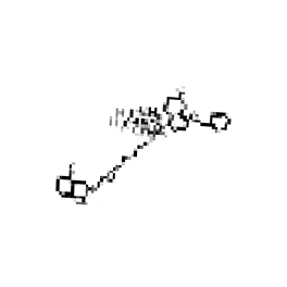 CN(CCOCCCCCCNCC(O[Si](C)(C)C(C)(C)C)c1ccc(OCc2ccccc2)c2[nH]c(=O)ccc12)Cc1c(Cl)cccc1Cl